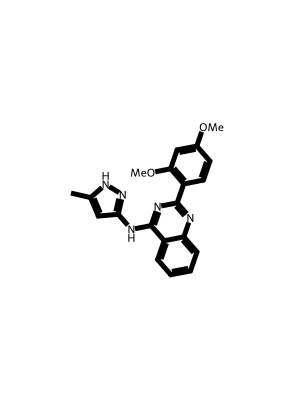 COc1ccc(-c2nc(Nc3cc(C)[nH]n3)c3ccccc3n2)c(OC)c1